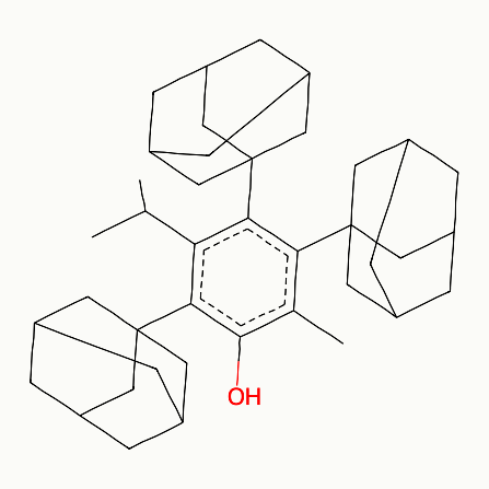 Cc1c(O)c(C23CC4CC(CC(C4)C2)C3)c(C(C)C)c(C23CC4CC(CC(C4)C2)C3)c1C12CC3CC(CC(C3)C1)C2